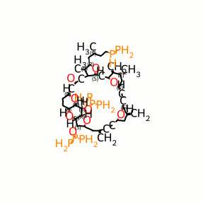 C=C1CCC2CC(=C)[C@H](CC[C@H]3C[C@@H](C)C(=C)C(C[C@@H]4O[C@H](C[C@H](C)CCPP)[C@H](C)C4CC(=O)C[C@H]4CC[C@@H]5O[C@@H]6[C@@H](OC(C1)[C@@H]6OP(P)P)[C@@H](OP(P)P)[C@H]5O4)O3)O2